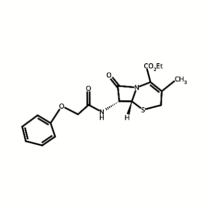 CCOC(=O)C1=C(C)CS[C@@H]2[C@H](NC(=O)COc3ccccc3)C(=O)N12